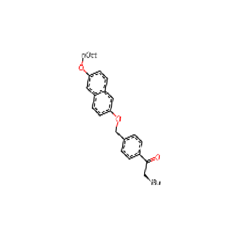 CCCCCCCCOc1ccc2cc(OCc3ccc(C(=O)C[C@H](C)CC)cc3)ccc2c1